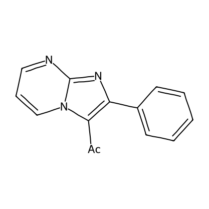 CC(=O)c1c(-c2ccccc2)nc2ncccn12